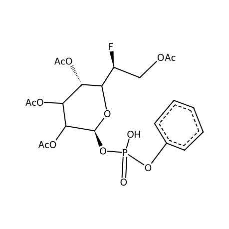 CC(=O)OC[C@H](F)C1O[C@@H](OP(=O)(O)Oc2ccccc2)C(OC(C)=O)C(OC(C)=O)[C@@H]1OC(C)=O